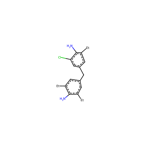 CCc1cc(Cc2cc(CC)c(N)c(CC)c2)cc(Cl)c1N